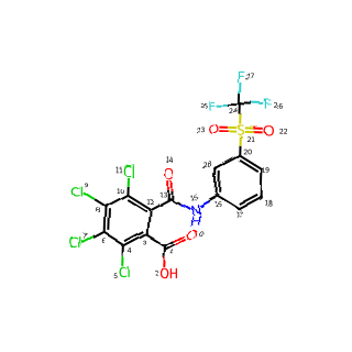 O=C(O)c1c(Cl)c(Cl)c(Cl)c(Cl)c1C(=O)Nc1cccc(S(=O)(=O)C(F)(F)F)c1